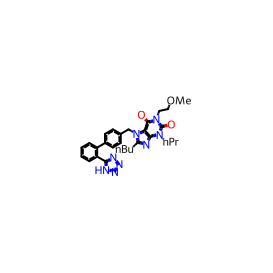 CCCCc1nc2c(c(=O)n(CCOC)c(=O)n2CCC)n1Cc1ccc(-c2ccccc2-c2nnn[nH]2)cc1